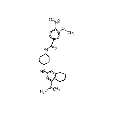 COc1cc(C(=O)N[C@H]2CC[C@@H](Nc3nc4c(c(N(C)C)n3)CCCC4)CC2)ccc1[N+](=O)[O-]